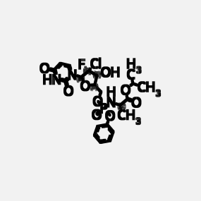 CC(C)OC(=O)[C@@H](C)NP(=O)(OC[C@H]1O[C@@H](n2ccc(=O)[nH]c2=O)[C@@](F)(Cl)[C@@H]1O)Oc1ccccc1